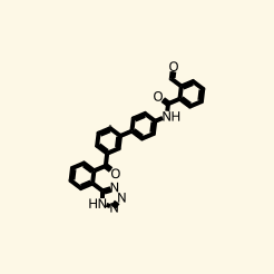 O=Cc1ccccc1C(=O)Nc1ccc(-c2[c]ccc(C(=O)c3ccccc3-c3nnn[nH]3)c2)cc1